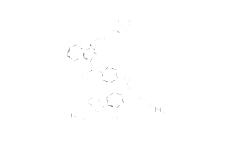 CCCCC(Oc1ccc(C(=O)c2cn(CCCC(=O)O)c3ccccc23)cc1)c1ccc(CC(C)C)c(F)c1